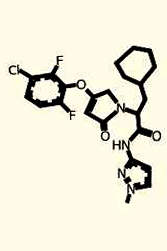 Cn1ccc(NC(=O)C(CC2CCCCC2)N2CC(Oc3c(F)ccc(Cl)c3F)=CC2=O)n1